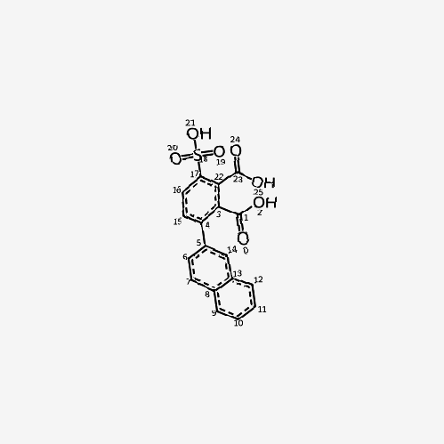 O=C(O)c1c(-c2ccc3ccccc3c2)ccc(S(=O)(=O)O)c1C(=O)O